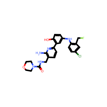 Nc1nc(-c2cc(Nc3ccc(Cl)cc3CF)ccc2O)ccc1CNC(=O)N1CCOCC1